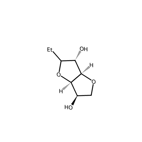 CCC1O[C@H]2[C@H](OC[C@H]2O)[C@H]1O